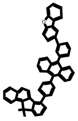 CC1(C)c2cccc(-c3ccc(-c4c5ccccc5c(-c5cccc(-c6ccc7oc8ccccc8c7c6)c5)c5ccccc45)cc3)c2-c2ccc3ccccc3c21